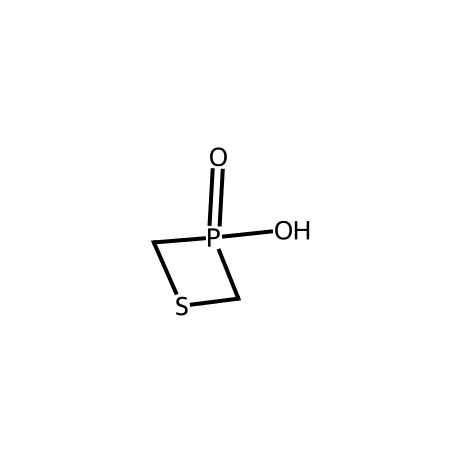 O=P1(O)CSC1